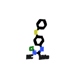 CSC(=Nc1ccc(Sc2ccccc2)cc1)N(Cl)C#N